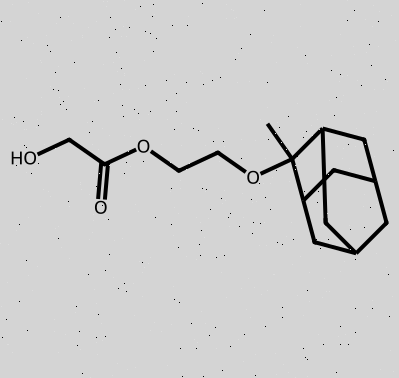 CC1(OCCOC(=O)CO)C2CC3CC(C2)CC1C3